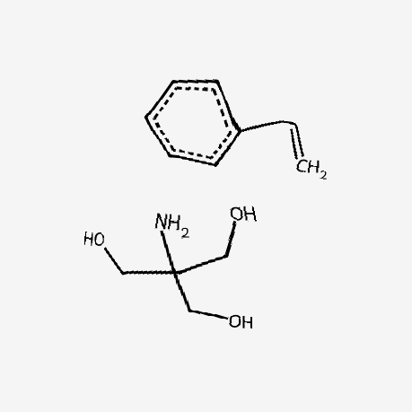 C=Cc1ccccc1.NC(CO)(CO)CO